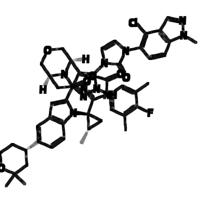 Cc1cc(-n2nc3c(c2-n2ccn(-c4ccc5c(cnn5C)c4Cl)c2=O)[C@@H]2COC[C@H](C3)N2C(=O)c2cc3cc([C@H]4CCOC(C)(C)C4)ccc3n2[C@@]2(c3noc(=O)[nH]3)C[C@@H]2C)cc(C)c1F